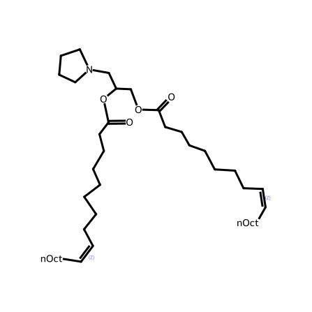 CCCCCCCC/C=C\CCCCCCCC(=O)OCC(CN1CCCC1)OC(=O)CCCCCCC/C=C\CCCCCCCC